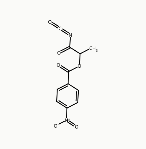 CC(OC(=O)c1ccc([N+](=O)[O-])cc1)C(=O)N=C=O